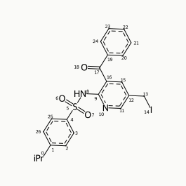 CC(C)c1ccc(S(=O)(=O)Nc2ncc(CI)cc2C(=O)c2ccccc2)cc1